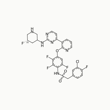 O=S(=O)(Cc1ccc(F)c(Cl)c1)Nc1c(F)cc(Oc2ncccc2-c2ccnc(NC3CNC[C@@H](F)C3)n2)c(F)c1F